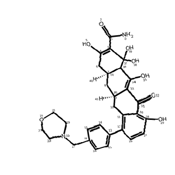 NC(=O)C1=C(O)C[C@@H]2C[C@@H]3Cc4c(-c5ccc(CN6CCOCC6)cc5)ccc(O)c4C(=O)C3=C(O)C2C1(O)O